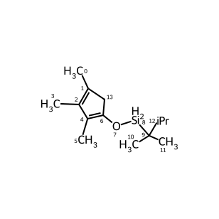 CC1=C(C)C(C)=C(O[SiH2]C(C)(C)C(C)C)C1